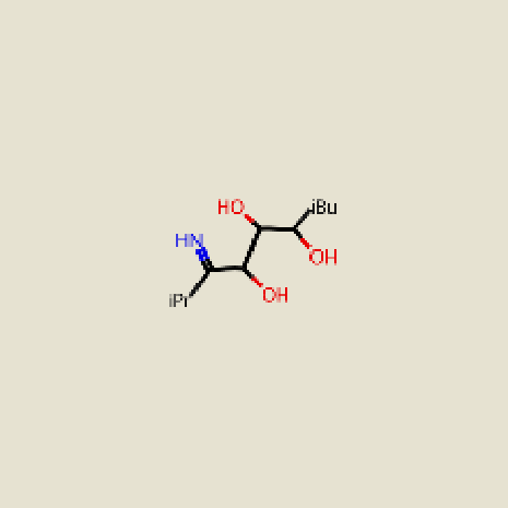 CCC(C)C(O)C(O)C(O)C(=N)C(C)C